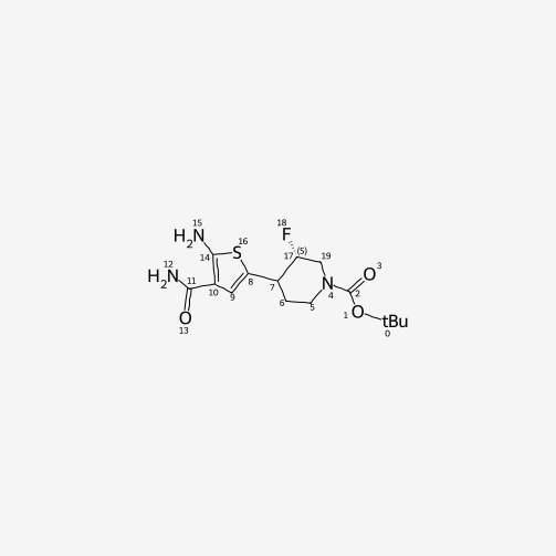 CC(C)(C)OC(=O)N1CCC(c2cc(C(N)=O)c(N)s2)[C@H](F)C1